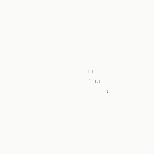 O=C(NCCc1ccc(F)cc1)Nc1ccccn1